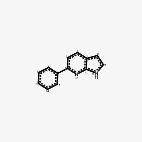 c1ccc(-c2ccc3cc[nH]c3n2)cc1